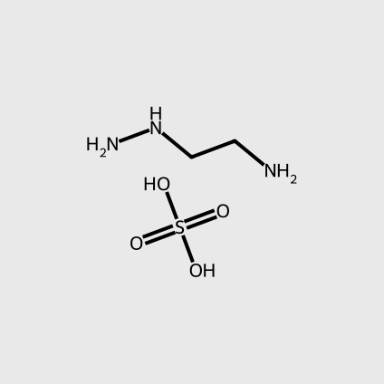 NCCNN.O=S(=O)(O)O